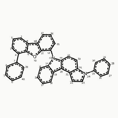 c1ccc(-c2cccc3c2oc2c(-n4c5ccccc5c5c6ccn(-c7ccccc7)c6ccc54)cccc23)cc1